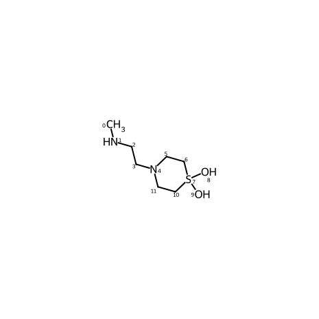 CNCCN1CCS(O)(O)CC1